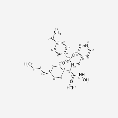 CCCO[C@H]1CC[C@H](C(C(=O)NO)N(Cc2ccncc2)S(=O)(=O)c2ccc(OC)cc2)CC1.Cl